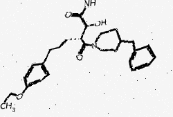 CCOc1ccc(CCC[C@@H](C(=O)N2CCC(Cc3ccccc3)CC2)[C@H](O)C(=O)NO)cc1